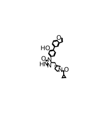 O=C(C1CC1)N1CC[C@@H](Cc2n[nH]c(=O)n2-c2ccc(-c3ccc4occc4c3)c(O)c2)C1